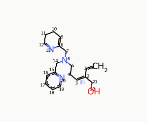 C=C/C(=C\CCN(CC1=CCCC=N1)Cc1ccccn1)CO